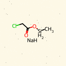 C[SiH2]OC(=O)CCl.[NaH]